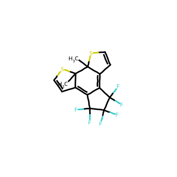 CC12SC=CC1=C1C(=C3C=CSC32C)C(F)(F)C(F)(F)C1(F)F